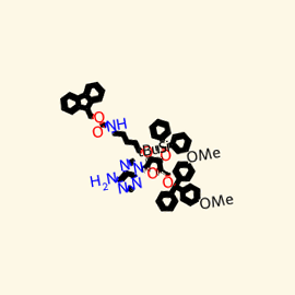 COc1ccc(C(OC[C@H]2O[C@@H](n3cnc4c(N)ncnc43)[C@H](OCCCCCNC(=O)OCC3c4ccccc4-c4ccccc43)[C@@H]2O[Si](c2ccccc2)(c2ccccc2)C(C)(C)C)(c2ccccc2)c2ccc(OC)cc2)cc1